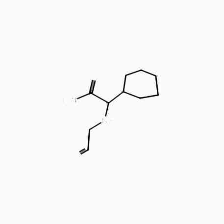 NC(=O)C(NCC=O)C1CCCCC1